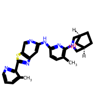 Cc1cccnc1-c1nc2cc(Nc3ccc(C)c(N4C[C@H]5CC[C@@H](C4)C5O)n3)ncc2s1